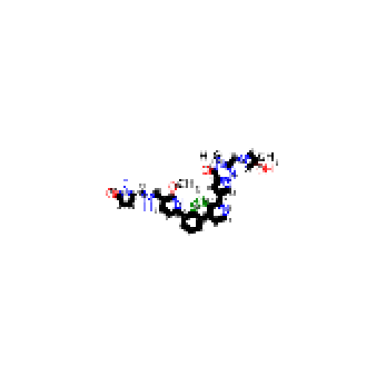 COc1nc(-c2cccc(-c3ccnc(-c4cc5c(=O)n(C)c(CN6CC(C)(O)C6)nn5c4)c3Cl)c2Cl)ccc1CNC[C@@H]1CCC(=O)N1